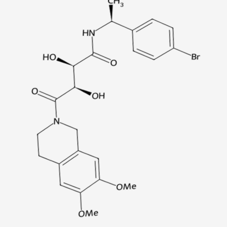 COc1cc2c(cc1OC)CN(C(=O)[C@H](O)[C@@H](O)C(=O)N[C@@H](C)c1ccc(Br)cc1)CC2